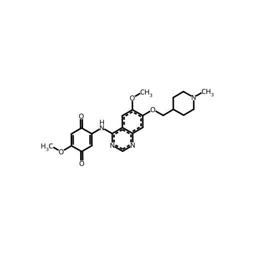 COC1=CC(=O)C(Nc2ncnc3cc(OCC4CCN(C)CC4)c(OC)cc23)=CC1=O